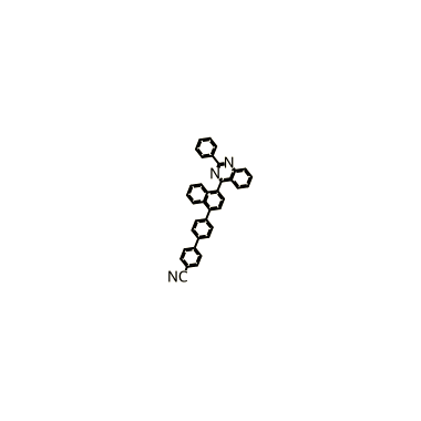 N#Cc1ccc(-c2ccc(-c3ccc(-c4nc(-c5ccccc5)nc5ccccc45)c4ccccc34)cc2)cc1